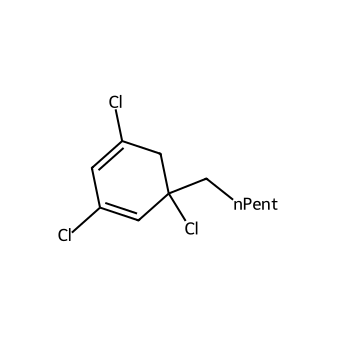 CCCCCCC1(Cl)C=C(Cl)C=C(Cl)C1